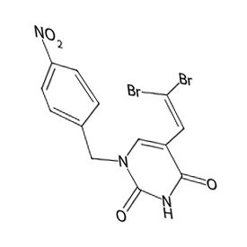 O=c1[nH]c(=O)n(Cc2ccc([N+](=O)[O-])cc2)cc1C=C(Br)Br